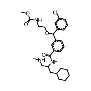 CNCC(CC1CCCCC1)NC(=O)c1cccc(C(OCCNC(=O)OC)c2cccc(Cl)c2)c1